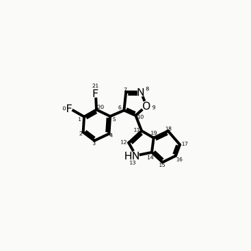 Fc1cccc(-c2cnoc2-c2c[nH]c3ccccc23)c1F